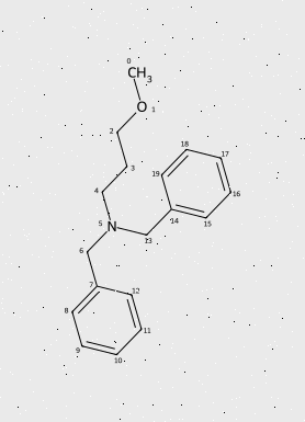 COCCCN(Cc1ccccc1)Cc1ccccc1